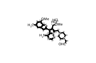 COCc1c(-c2cc3cc(C)cc(OC)c3s2)c2c(N)ncnn2c1CN1CCN(CC=O)CC1.Cl.Cl